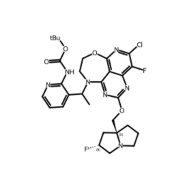 CC(c1cccnc1NC(=O)OC(C)(C)C)N1CCOc2nc(Cl)c(F)c3nc(OC[C@@]45CCCN4C[C@H](F)C5)nc1c23